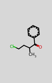 CC(CCCl)C(=O)c1ccccc1